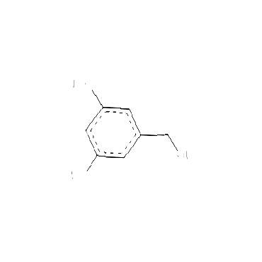 O[CH]c1cc(C(F)(F)F)cc(C(F)(F)F)c1